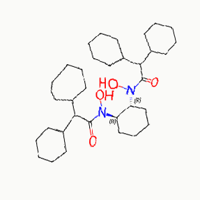 O=C(C(C1CCCCC1)C1CCCCC1)N(O)[C@@H]1CCCC[C@H]1N(O)C(=O)C(C1CCCCC1)C1CCCCC1